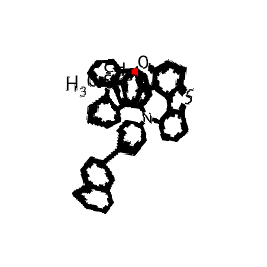 C[Si]1(C)c2ccccc2-c2c(N(c3ccc(-c4ccc5ccccc5c4)cc3)c3cccc4sc5ccc6oc7c8ccccc8ccc7c6c5c34)cccc21